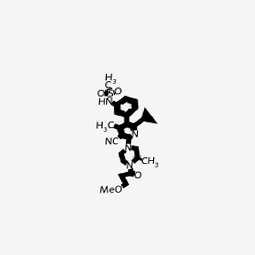 COCCC(=O)N1CCN(c2nc(C3CC3)c(-c3cccc(NS(C)(=O)=O)c3)c(C)c2C#N)C[C@H]1C